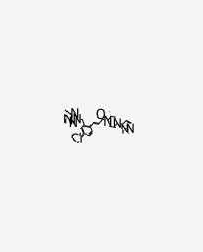 Cc1nnn(Cc2cc(Cl)ccc2C=CC(=O)N2CCN(c3ccn(C)n3)C[C@H]2C)n1